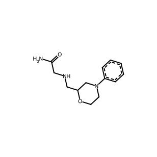 NC(=O)CNCC1CN(c2ccccc2)CCO1